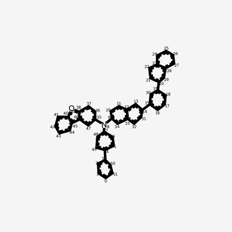 c1ccc(-c2ccc(N(c3ccc4cc(-c5cccc(-c6ccc7ccccc7c6)c5)ccc4c3)c3ccc4oc5ccccc5c4c3)cc2)cc1